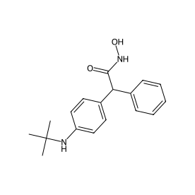 CC(C)(C)Nc1ccc(C(C(=O)NO)c2ccccc2)cc1